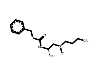 O=C(N[C@H](C[S+]([O-])CCCC(F)(F)F)C(=O)O)OCc1ccccc1